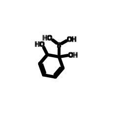 OB(O)C1(O)C=CC=CC1O